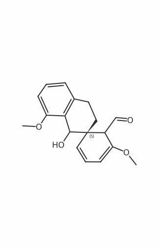 COC1=CC=C[C@@]2(CCc3cccc(OC)c3C2O)C1C=O